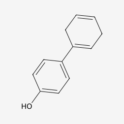 Oc1ccc(C2=CCC=CC2)cc1